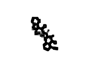 C#Cc1cccc2nc([C@@H](C)NC(=O)c3c(N)nn4cccnc34)n(C)c(=O)c12